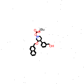 CC(C)(C)OC(=O)ON1CCC(c2cccc(CO)c2)C(OCc2ccc3ccccc3c2)C1